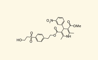 COC(=O)C1=C(C)NC(C)=C(C(=O)OCCc2ccc(S(=O)(=O)CCO)cc2)C1c1cccc([N+](=O)[O-])c1